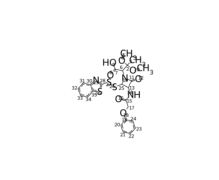 COC(C)(OC)C(C(=O)O)N1C(=O)C(NC(=O)COc2ccccc2)C1SSc1nc2ccccc2s1